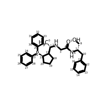 C[C@H](NCC(=O)N[C@H](CO)Cc1ccccc1)C1CCC[C@H]1P(c1ccccc1)c1ccccc1